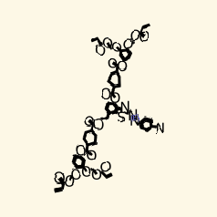 C=CC(=O)OCOc1ccc(OC(=O)C2CCC(C(=O)OCCc3ccc(OC(=O)C4CCC(C(=O)Oc5ccc(OCOC(=O)C=C)c(OCOC(=O)C=C)c5)CC4)c4nc(/N=N/c5ccc(C#N)cc5)sc34)CC2)cc1OCOC(=O)C=C